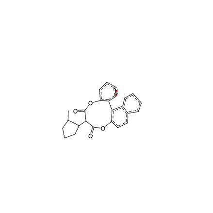 CC1CCCC1C1C(=O)Oc2ccc3ccccc3c2-c2c(ccc3ccccc23)OC1=O